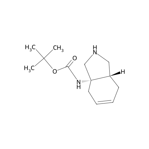 CC(C)(C)OC(=O)N[C@@]12CC=CC[C@H]1CNC2